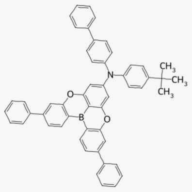 CC(C)(C)c1ccc(N(c2ccc(-c3ccccc3)cc2)c2cc3c4c(c2)Oc2cc(-c5ccccc5)ccc2B4c2ccc(-c4ccccc4)cc2O3)cc1